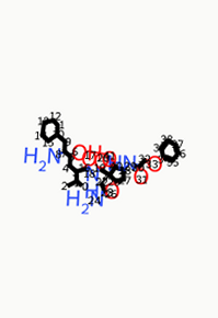 CC(C)C(C[C@H](O)[C@@H](N)CC1CCCCC1)C(=O)NC(=O)[C@@]1(CCN)C(=O)C[C@H](NC(=O)COc2ccccc2)C1=O